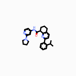 CC(C)c1ccccc1-c1ccc2c(n1)C(C(=O)Nc1ccnc(N3CCCC3)c1)CCC2